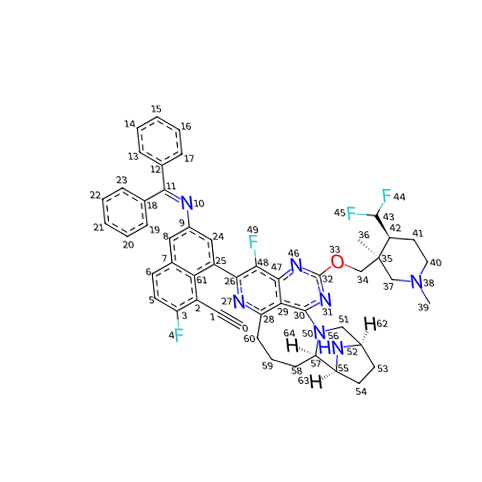 C#Cc1c(F)ccc2cc(N=C(c3ccccc3)c3ccccc3)cc(-c3nc4c5c(nc(OC[C@]6(C)CN(C)CC[C@@H]6C(F)F)nc5c3F)N3C[C@H]5CC[C@H](N5)[C@H]3CCC4)c12